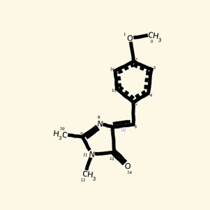 COc1ccc(/C=C2\N=C(C)N(C)C2=O)cc1